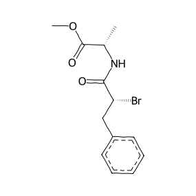 COC(=O)[C@H](C)NC(=O)[C@H](Br)Cc1ccccc1